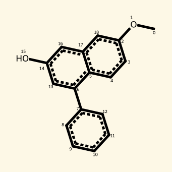 COc1ccc2c(-c3ccccc3)cc(O)cc2c1